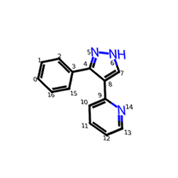 c1ccc(-c2n[nH]cc2-c2ccccn2)cc1